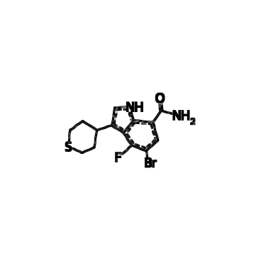 NC(=O)c1cc(Br)c(F)c2c(C3CCSCC3)c[nH]c12